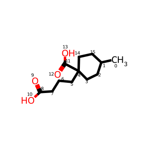 CC1CCC(CCCC(=O)O)(C(=O)O)CC1